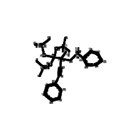 C[SiH](C)OC(O[SiH](C)C)(O[SiH](C)C)[Si](C)(C#Cc1ccccc1)C[SiH2]c1ccccc1